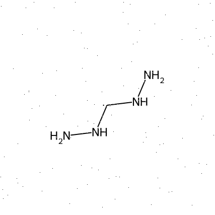 NN[CH]NN